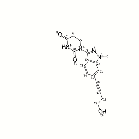 Cn1nc(N2CCC(=O)NC2=O)c2ccc(C#CCCO)cc21